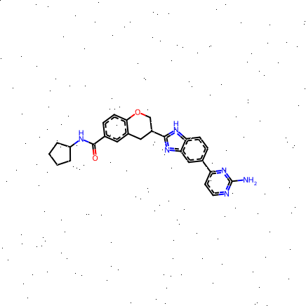 Nc1nccc(-c2ccc3[nH]c(C4COc5ccc(C(=O)NC6CCCC6)cc5C4)nc3c2)n1